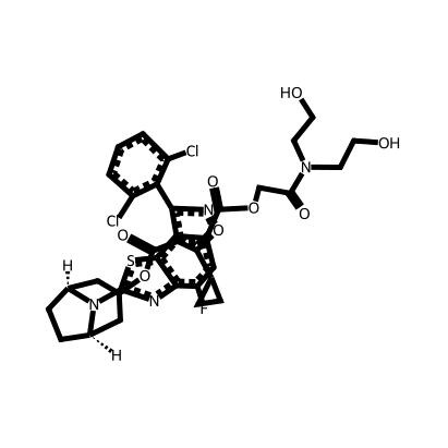 O=C(OCC(=O)N(CCO)CCO)c1cc(F)c2nc(N3[C@@H]4CC[C@H]3CC(OC(=O)c3c(-c5c(Cl)cccc5Cl)noc3C3CC3)C4)sc2c1